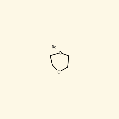 C1COCCO1.[Re]